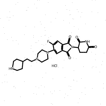 Cl.O=C1CCC(N2C(=O)c3cc(F)c(N4CCN(CCC5CCNCC5)CC4)cc3C2=O)C(=O)N1